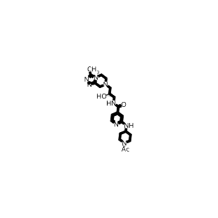 CC(=O)N1CCC(Nc2cc(C(=O)NC[C@H](O)CN3CCn4c(C)nnc4C3)ccn2)CC1